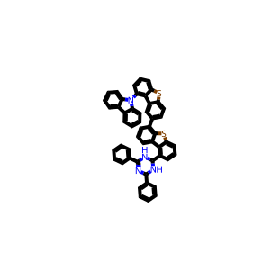 c1ccc(C2=NC(c3ccccc3)NC(c3cccc4sc5c(-c6ccc7sc8cccc(-n9c%10ccccc%10c%10ccccc%109)c8c7c6)cccc5c34)N2)cc1